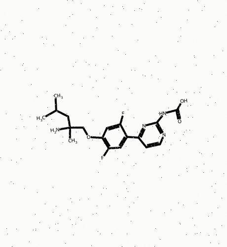 CC(C)CC(C)(N)COc1cc(F)c(-c2ccnc(NC(=O)O)n2)cc1F